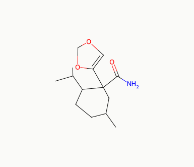 CC1CCC(C(C)C)C(C(N)=O)(C2=COCO2)C1